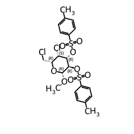 CO[C@@H]1O[C@H](CCl)[C@H](Cl)[C@H](OS(=O)(=O)c2ccc(C)cc2)[C@H]1OS(=O)(=O)c1ccc(C)cc1